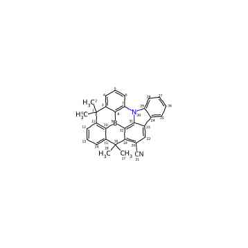 CC1(C)c2cccc3c2B2c4c1cccc4C(C)(C)c1c(C#N)cc4c5ccccc5n-3c4c12